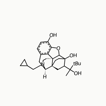 CC(C)(C)C(C)(O)C1C[C@]23CCC1(O)C1Oc4c(O)ccc5c4[C@@]12CCN(CC1CC1)[C@@H]3C5